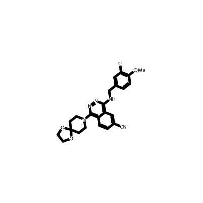 COc1ccc(CNc2nnc(N3CCC4(CC3)OCCO4)c3ccc(C#N)cc23)cc1Cl